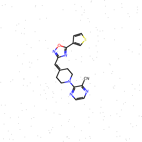 N#Cc1nccnc1N1CCC(=Cc2noc(-c3ccsc3)n2)CC1